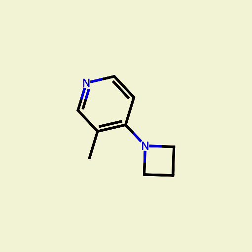 Cc1cnccc1N1CCC1